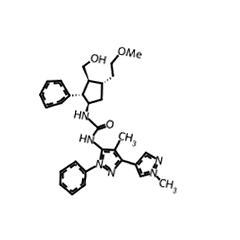 COCC[C@@H]1C[C@@H](NC(=O)Nc2c(C)c(-c3cnn(C)c3)nn2-c2ccccc2)[C@H](c2ccccc2)[C@H]1CO